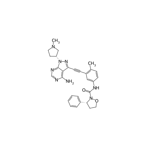 Cc1ccc(NC(=O)N2OCC[C@@H]2c2ccccc2)cc1C#Cc1nn([C@@H]2CCN(C)C2)c2ncnc(N)c12